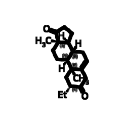 CC[C@@H]1C[C@@]2(C)C(=CC[C@@H]3[C@@H]2CC[C@]2(C)C(=O)CC[C@@H]32)CC1=O